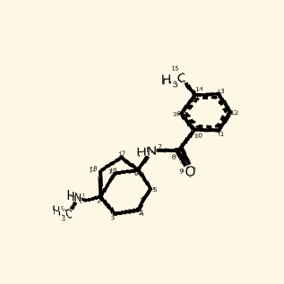 CNC12CCCC(NC(=O)c3cccc(C)c3)(CC1)C2